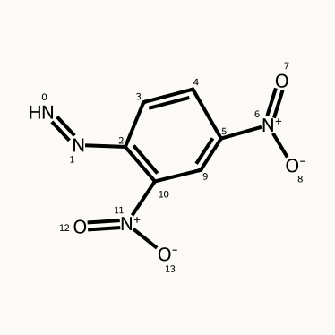 N=Nc1ccc([N+](=O)[O-])cc1[N+](=O)[O-]